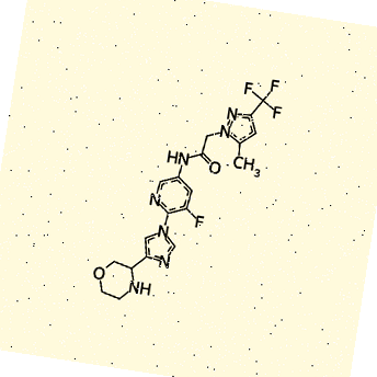 Cc1cc(C(F)(F)F)nn1CC(=O)Nc1cnc(-n2cnc(C3COCCN3)c2)c(F)c1